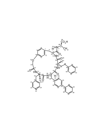 C[C@@H](NC(=O)[C@@H]1Cc2ccc(cc2)OCC(=O)N[C@@H](Cc2ccncc2)C(=O)N[C@H](Cc2ccc(-c3ccccc3)cc2)C(=O)N[C@@H](CCc2ccccc2)C(=O)N1)C(=O)O